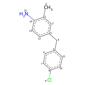 Cc1cc(Cc2ccc(Cl)cc2)ccc1N